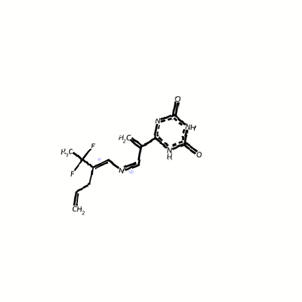 C=CC/C(=C\N=C/C(=C)c1nc(=O)[nH]c(=O)[nH]1)C(C)(F)F